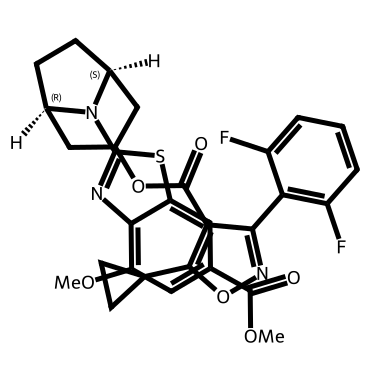 COC(=O)c1cc(OC)c2nc(N3[C@@H]4CC[C@H]3CC(OC(=O)c3c(-c5c(F)cccc5F)noc3C3CC3)C4)sc2c1